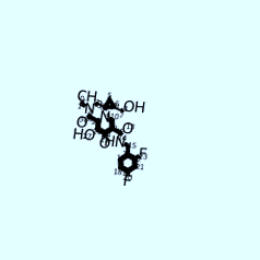 CCN1C[C@]2(C[C@H]2CO)n2cc(C(=O)NCc3ccc(F)cc3F)c(=O)c(O)c2C1=O